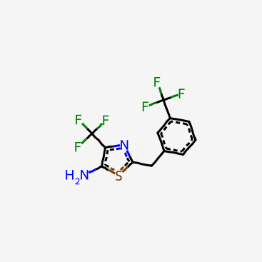 Nc1sc(Cc2cccc(C(F)(F)F)c2)nc1C(F)(F)F